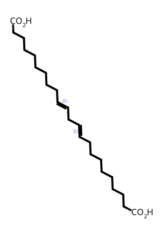 O=C(O)CCCCCCCC/C=C/C/C=C/CCCCCCCCC(=O)O